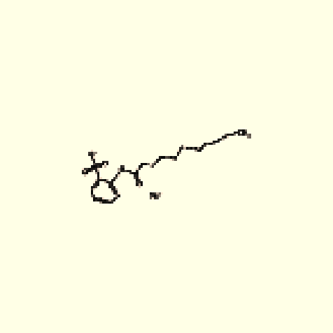 CCCCCCCCCCC(=O)Oc1ccccc1S(=O)(=O)[O-].[Na+]